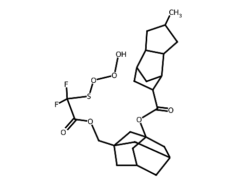 CC1CC2C3CC(C(=O)OC45CC6CC(CC(COC(=O)C(F)(F)SOOO)(C6)C4)C5)C(C3)C2C1